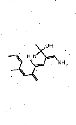 C=C(/C=C(C)\C=C/C)/C(C)=C/C(=C\N)C(C)(N)O